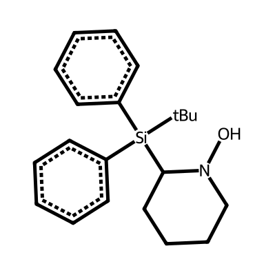 CC(C)(C)[Si](c1ccccc1)(c1ccccc1)C1CCCCN1O